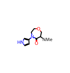 CNC1COCCN(c2cc[nH]c2)C1=O